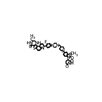 C[C@@H]1CNc2c(sc3ccc4nc(-c5ccc(N6CCN(CC7CCN(c8ccc9c(c8)n(C)c(=O)n9C8CCC(=O)NC8=O)CC7)CC6)cc5F)ccc4c23)C(=O)N1